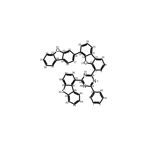 c1ccc(-c2nc(-c3cccc4c3oc3c(-c5ccc6c(c5)oc5ccccc56)cccc34)nc(-c3cccc4sc5ccccc5c34)n2)cc1